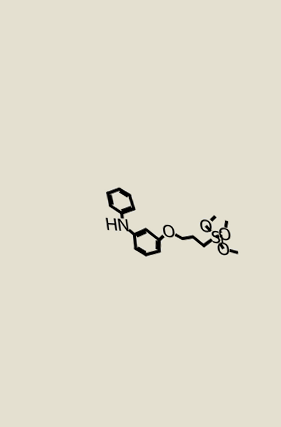 CO[Si](CCCOc1cccc(Nc2ccccc2)c1)(OC)OC